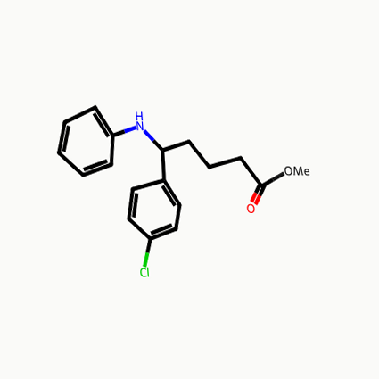 COC(=O)CCCC(Nc1ccccc1)c1ccc(Cl)cc1